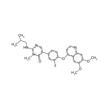 COc1cc2nccc(Oc3ccc(-c4cnc(NCC(C)C)n(C)c4=O)cc3F)c2cc1OC